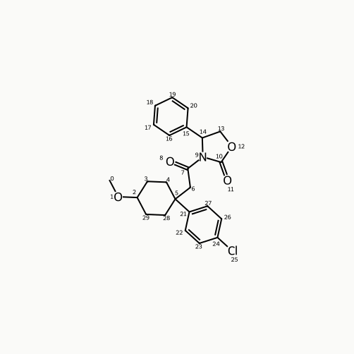 COC1CCC(CC(=O)N2C(=O)OCC2c2ccccc2)(c2ccc(Cl)cc2)CC1